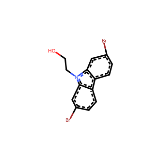 OCCn1c2cc(Br)ccc2c2ccc(Br)cc21